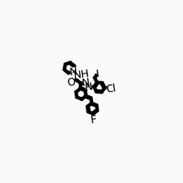 O=C(NN1C=CCCC1)c1nn(-c2ccc(Cl)cc2CI)c2c1CCC/C2=C\c1ccc(F)cc1